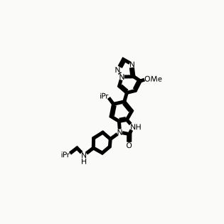 COc1cc(-c2cc3[nH]c(=O)n(C4CCC(NCC(C)C)CC4)c3cc2C(C)C)cn2ncnc12